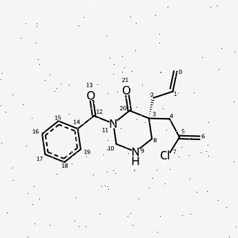 C=CC[C@]1(CC(=C)Cl)CNCN(C(=O)c2ccccc2)C1=O